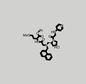 CSCCC(NC(=O)CN(Cc1cccc2ccccc12)C[C@@H]1CCCN1C(=O)CNc1ccncc1)C(=O)OC(C)C.Cl